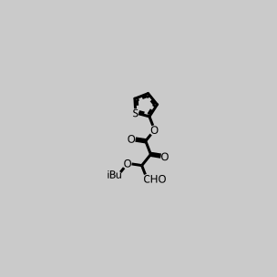 CCC(C)OC(C=O)C(=O)C(=O)Oc1cccs1